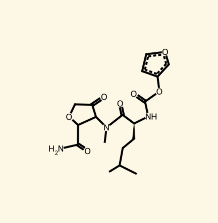 CC(C)CC[C@H](NC(=O)Oc1ccoc1)C(=O)N(C)C1C(=O)COC1C(N)=O